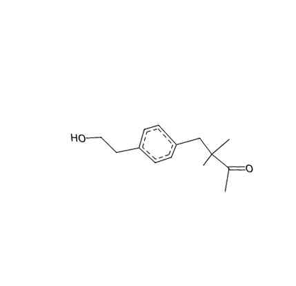 CC(=O)C(C)(C)Cc1ccc(CCO)cc1